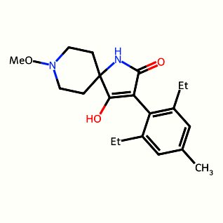 CCc1cc(C)cc(CC)c1C1=C(O)C2(CCN(OC)CC2)NC1=O